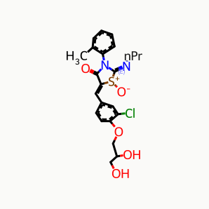 CCC/N=C1\N(c2ccccc2C)C(=O)C(=Cc2ccc(OCC(O)CO)c(Cl)c2)[S+]1[O-]